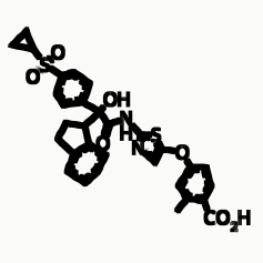 Cc1cc(Oc2cnc(NC(=O)C(O)(c3ccc(S(=O)(=O)C4CC4)cc3)C3CCc4ccccc43)s2)ccc1C(=O)O